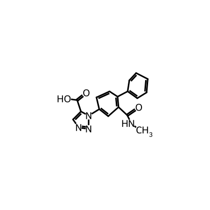 CNC(=O)c1cc(-n2nncc2C(=O)O)ccc1-c1ccccc1